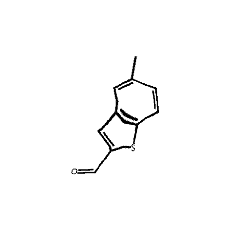 Cc1ccc2sc(C=O)cc2c1